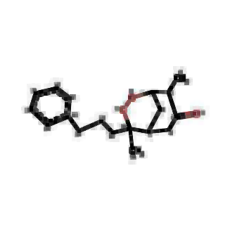 CC1C(=O)CC2CC1OOC2(C)CCCc1ccccc1